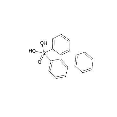 O=S(O)(O)(c1ccccc1)c1ccccc1.c1ccccc1